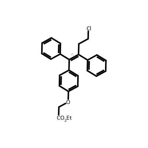 CCOC(=O)COc1ccc(/C(=C(/CCCl)c2ccccc2)c2ccccc2)cc1